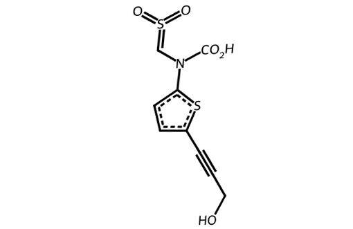 O=C(O)N(C=S(=O)=O)c1ccc(C#CCO)s1